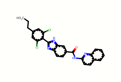 O=C(O)CCc1cc(Cl)c(-c2nc3ccc(C(=O)Nc4ccc5ccccc5n4)cc3[nH]2)c(Cl)c1